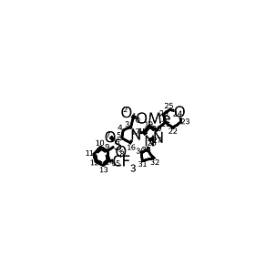 COC(=O)C1CC(S(=O)(=O)c2ccccc2C(F)(F)F)CN1c1cc(C2CCOCC2)nn1C1CCC1